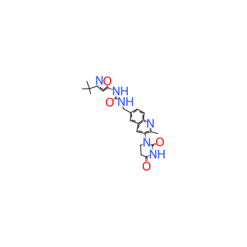 Cc1nc2ccc(CNC(=O)Nc3cc(C(C)(C)C)no3)cc2cc1N1CCC(=O)NC1=O